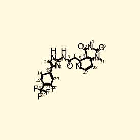 Cn1c(=O)c2c(CC(=O)Nc3nc(-c4ccc(C(F)(F)F)c(F)c4)c[nH]3)nccc2n(C)c1=O